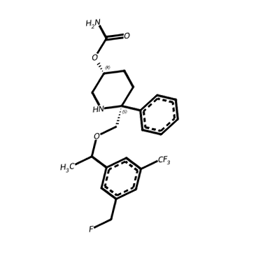 CC(OC[C@@]1(c2ccccc2)CC[C@@H](OC(N)=O)CN1)c1cc(CF)cc(C(F)(F)F)c1